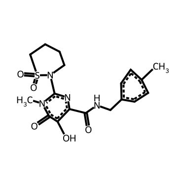 Cc1ccc(CNC(=O)c2nc(N3CCCCS3(=O)=O)n(C)c(=O)c2O)cc1